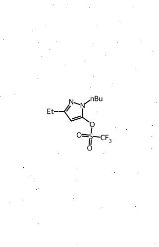 CCCCn1nc(CC)cc1OS(=O)(=O)C(F)(F)F